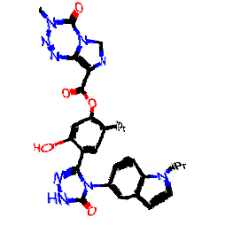 CC(C)c1cc(-c2n[nH]c(=O)n2-c2ccc3c(ccn3C(C)C)c2)c(O)cc1OC(=O)c1ncn2c(=O)n(C)nnc12